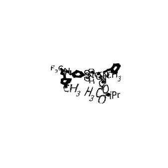 Cc1ccc(-c2cc(C(F)(F)F)nn2-c2ccc(S(=O)(=O)NC(=O)OC[C@H](Cc3ccccc3)N(C)/[N+]([O-])=N/OC(C)OC(=O)C(C)C)cc2)cc1